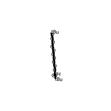 CC(C)(C)CCC(=O)NCCOCCOCCOCCOCCOCCOCCOCCOCCOCCOCC(C)(C)C